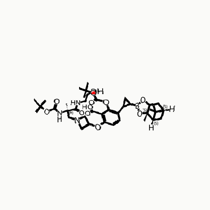 CC(C)(C)OC(=O)N[C@](C)(CN1CC(Oc2ccc(C3CC3B3OC4C[C@@H]5C[C@@H](C5(C)C)[C@]4(C)O3)c(OC(=O)OC(C)(C)C)c2C(=O)O)C1)C(=O)NCCO